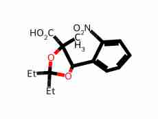 CCC1(CC)OC(c2ccccc2[N+](=O)[O-])C(C)(C(=O)O)O1